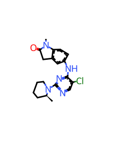 C[C@H]1CCCCN1c1ncc(Cl)c(Nc2ccc3c(c2)CC(=O)N3C)n1